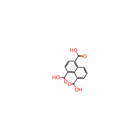 O=C(O)c1ccc(C(=O)O)c2c(C(=O)O)cc[c]c12